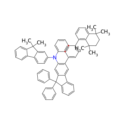 CC1(C)CCC(C)(C)c2c(-c3ccc(-c4cc5c(cc4N(c4ccccc4)c4ccc6c(c4)C(C)(C)c4ccccc4-6)C(c4ccccc4)(c4ccccc4)c4ccccc4-5)cc3)cccc21